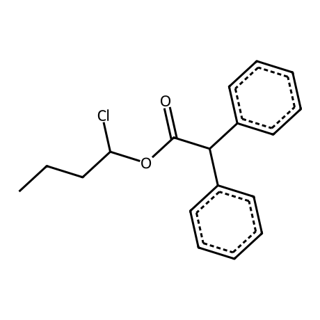 CCCC(Cl)OC(=O)C(c1ccccc1)c1ccccc1